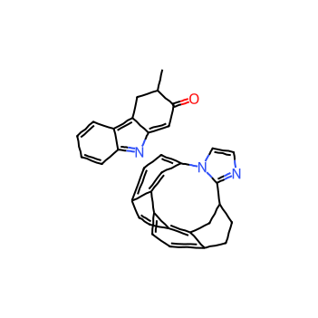 CC1CC2=c3ccccc3=NC2=CC1=O.c1cn2c(n1)C1CCc3ccc4c(ccc5ccc-2cc54)c3C1